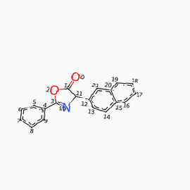 O=C1OC(c2ccccc2)=NC1c1ccc2ccccc2c1